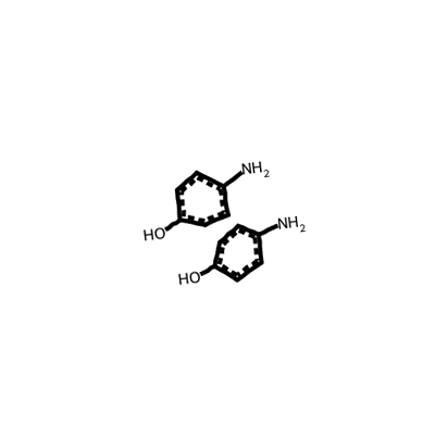 Nc1ccc(O)cc1.Nc1ccc(O)cc1